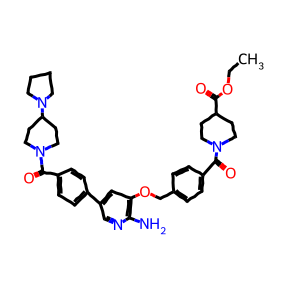 CCOC(=O)C1CCN(C(=O)c2ccc(COc3cc(-c4ccc(C(=O)N5CCC(N6CCCC6)CC5)cc4)cnc3N)cc2)CC1